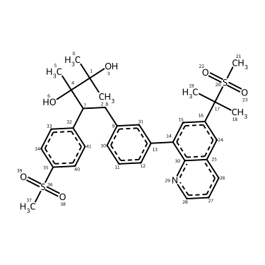 CC(C)(O)C(C)(O)C(Cc1cccc(-c2cc(C(C)(C)S(C)(=O)=O)cc3cccnc23)c1)c1ccc(S(C)(=O)=O)cc1